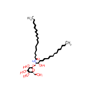 CCCCCCCCCCC/C=C/[C@@H](O)[C@H](CO[C@@H]1O[C@H](CO)[C@@H](O)[C@H](O)[C@H]1O)NC(=O)CCCCCCCCCCCCCCCCC